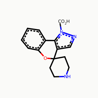 O=C(O)n1ncc2c1-c1ccccc1OC21CCNCC1